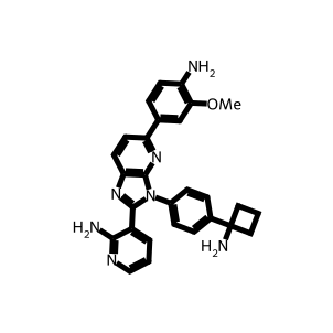 COc1cc(-c2ccc3nc(-c4cccnc4N)n(-c4ccc(C5(N)CCC5)cc4)c3n2)ccc1N